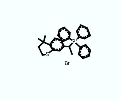 CC(c1ccc2c(c1)SCCC2(C)C)[P+](c1ccccc1)(c1ccccc1)c1ccccc1.[Br-]